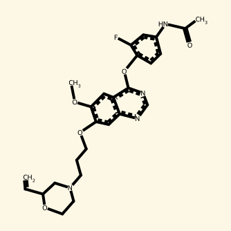 C=CC1CN(CCCOc2cc3ncnc(Oc4ccc(NC(C)=O)cc4F)c3cc2OC)CCO1